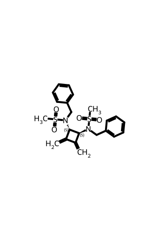 C=C1C(=C)[C@H](N(Cc2ccccc2)S(C)(=O)=O)[C@H]1N(Cc1ccccc1)S(C)(=O)=O